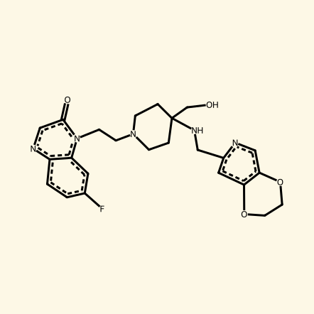 O=c1cnc2ccc(F)cc2n1CCN1CCC(CO)(NCc2cc3c(cn2)OCCO3)CC1